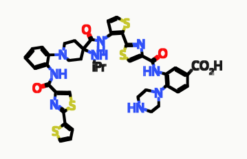 CC(C)NC1(C(=O)Nc2ccsc2-c2nc(C(=O)Nc3cc(C(=O)O)ccc3N3CCNCC3)cs2)CCN(c2ccccc2NC(=O)c2csc(-c3cccs3)n2)CC1